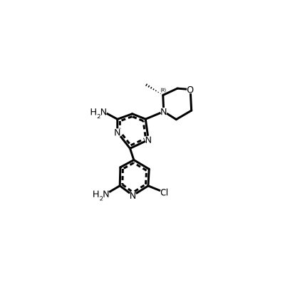 C[C@@H]1COCCN1c1cc(N)nc(-c2cc(N)nc(Cl)c2)n1